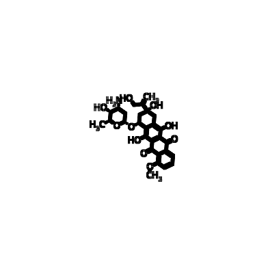 C=C(CO)[C@]1(O)Cc2c(O)c3c(c(O)c2[C@@H](O[C@H]2C[C@H](N)[C@H](O)[C@H](C)O2)C1)C(=O)c1c(OC)cccc1C3=O